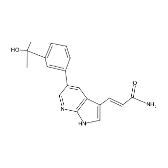 CC(C)(O)c1cccc(-c2cnc3[nH]cc(/C=C/C(N)=O)c3c2)c1